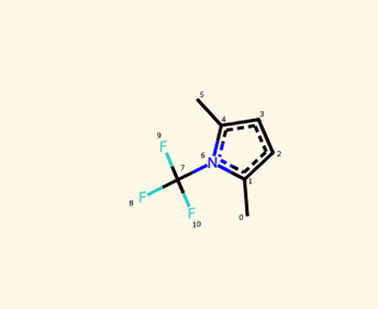 Cc1ccc(C)n1C(F)(F)F